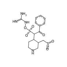 N=C(N)NOS(=O)(=O)C(C(=O)c1ccccc1)C1CCNCC1C[SH](=O)=O